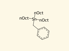 CCCCCCC[CH2][Sn]([CH2]CCCCCCC)([CH2]CCCCCCC)[CH2]c1ccccc1